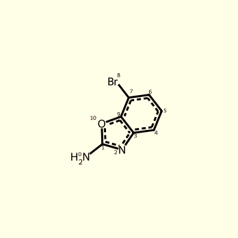 Nc1nc2cccc(Br)c2o1